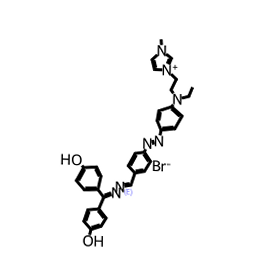 CCN(CC[n+]1ccn(C)c1)c1ccc(N=Nc2ccc(/C=N/N=C(c3ccc(O)cc3)c3ccc(O)cc3)cc2)cc1.[Br-]